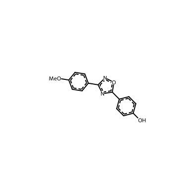 COc1ccc(-c2noc(-c3ccc(O)cc3)n2)cc1